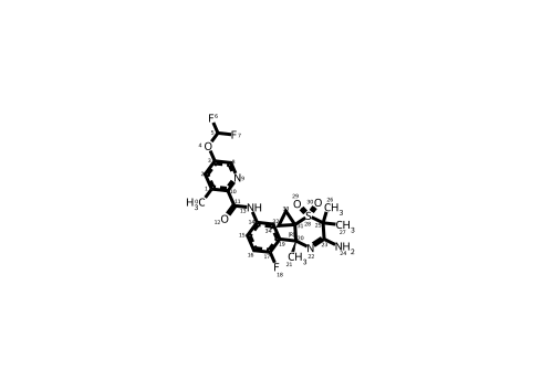 Cc1cc(OC(F)F)cnc1C(=O)Nc1ccc(F)c([C@@]2(C)N=C(N)C(C)(C)S(=O)(=O)C23CC3)c1